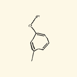 [CH2]C(C)Oc1cccc(C)c1